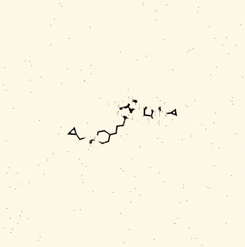 Nc1nc(CCCC2CCN(C(=O)OCC3CC3)CC2)nc2c1ncn2[C@@H]1O[C@H](C(=O)NC2CC2)C(O)[C@@H]1O